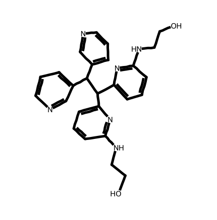 OCCNc1cccc(C(c2cccc(NCCO)n2)C(c2cccnc2)c2cccnc2)n1